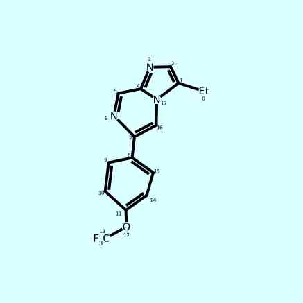 CCc1cnc2cnc(-c3ccc(OC(F)(F)F)cc3)cn12